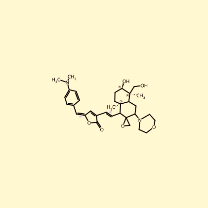 CN(C)c1ccc(/C=C2C=C(/C=C/C3C4(CO4)C(N4CCOCC4)CC4[C@]3(C)CC[C@@H](O)[C@@]4(C)CO)C(=O)O\2)cc1